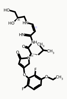 CCOc1ccc(F)c(OC2=CC(=O)N([C@@H](CC(C)C)C(=O)NC(=N)/C=C\NC[C@@H](O)CO)C2)c1F